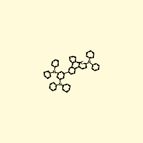 c1ccc(N(c2ccccc2)c2cc(-c3ccc4c5ccc(N(c6ccccc6)c6ccccc6)cc5c5ccccc5c4c3)cc(N(c3ccccc3)c3ccccc3)c2)cc1